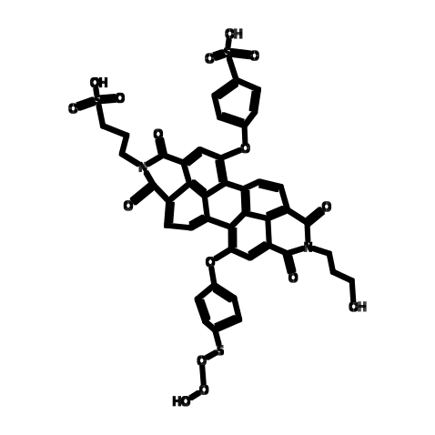 O=C1c2ccc3c4c(Oc5ccc(S(=O)(=O)O)cc5)cc5c6c(ccc(c7c(Oc8ccc(SOOO)cc8)cc(c2c37)C(=O)N1CCCO)c64)C(=O)N(CCCS(=O)(=O)O)C5=O